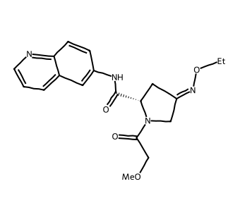 CCO/N=C1\C[C@@H](C(=O)Nc2ccc3ncccc3c2)N(C(=O)COC)C1